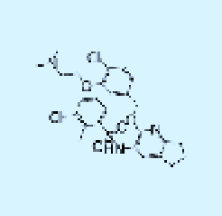 Cc1c(Cl)cccc1S(=O)(=O)Nc1cc2c(nc1OCc1ccc(Cl)c(OCCN(C)C)c1)CCC2